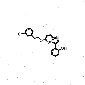 Oc1ccccc1-c1cnc2ccc(OCCc3cccc(Cl)c3)nn12